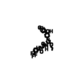 CCCO[C@H]1CN(C2CCC(O)(c3cc[n+]([O-])cc3)CC2)CC1NC(=O)CNC(=O)c1cccc(C(F)(F)F)c1